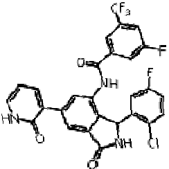 O=C(Nc1cc(-c2ccc[nH]c2=O)cc2c1C(c1cc(F)ccc1Cl)NC2=O)c1cc(F)cc(C(F)(F)F)c1